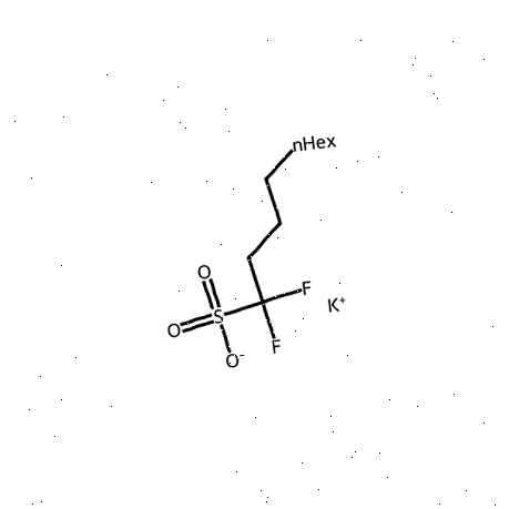 CCCCCCCCCC(F)(F)S(=O)(=O)[O-].[K+]